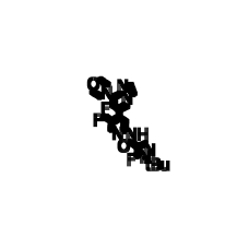 CC(C)(C)n1ncc(C(=O)Nc2cc(-c3cc(N4CCOCC4)c4nccn4c3)c(C(F)F)cn2)c1F